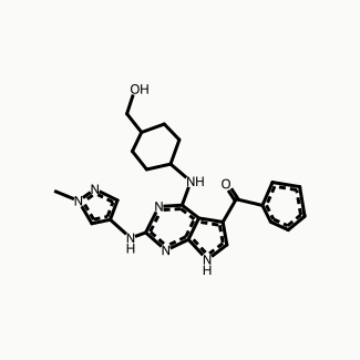 Cn1cc(Nc2nc(NC3CCC(CO)CC3)c3c(C(=O)c4ccccc4)c[nH]c3n2)cn1